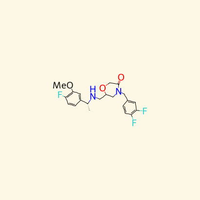 COc1cc([C@@H](C)NCC2CN(Cc3ccc(F)c(F)c3)C(=O)CO2)ccc1F